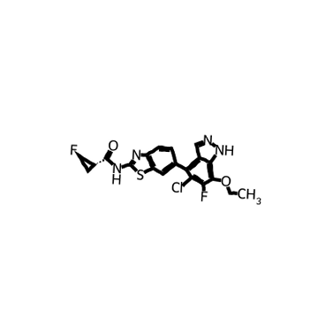 CCOc1c(F)c(Cl)c(-c2ccc3nc(NC(=O)[C@@H]4C[C@@H]4F)sc3c2)c2cn[nH]c12